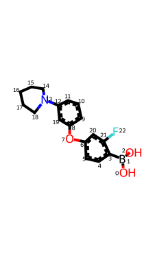 OB(O)c1ccc(Oc2cccc(N3CCCCC3)c2)cc1F